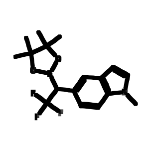 Cn1ccc2cc(C(B3OC(C)(C)C(C)(C)O3)C(F)(F)F)ccc21